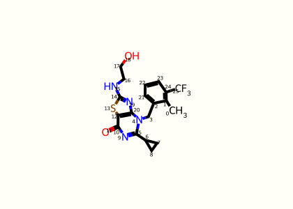 Cc1c(Cn2c(C3CC3)nc(=O)c3sc(NCCO)nc32)cccc1C(F)(F)F